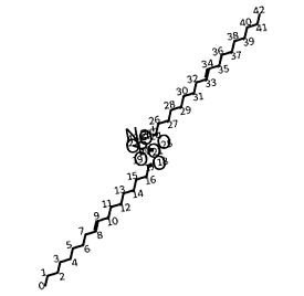 CCCCCCCCC=CCCCCCCCC(=O)OP(=O)([O-])OC(=O)CCCCCCCC=CCCCCCCCC.[Na+]